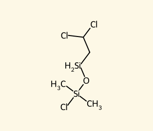 C[Si](C)(Cl)O[SiH2]CC(Cl)Cl